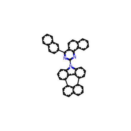 c1ccc2cc(-c3nc(-n4c5cccc6c5c5c(cccc54)-c4cccc5cccc-6c45)nc4c3ccc3ccccc34)ccc2c1